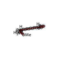 COCc1ccc(NC(=O)C(C)NC(=O)[C@@H](NC(=O)CCOCCOCCOCCOCCOCCOCCOCCOCCNC(=O)CCN2C(=O)CC(C3CCCCCCC3)C2=O)C(C)C)cc1